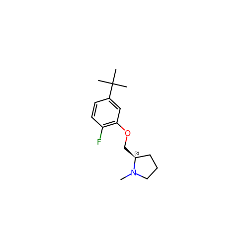 CN1CCC[C@@H]1COc1cc(C(C)(C)C)ccc1F